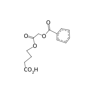 O=C(O)CCCOC(=O)COC(=O)c1ccccc1